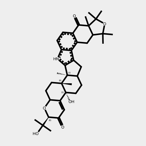 CC1(C)OC(C)(C)C2(C)C(=O)c3ccc4[nH]c5c(c4c3CC12)CC1CC[C@@]2(O)C3=CC(=O)[C@@H](C(C)(C)O)OC3CC[C@]2(C)[C@@]51C